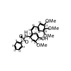 COc1cc(NS(=O)(=O)c2ccccc2)c(/C=C\c2cc(OC)c(OC)c(OC)c2)cc1O